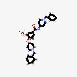 COc1cc(C(=O)NC2CCN(Cc3ccccc3)CC2)ccc1OC1CCN(Cc2ccccc2)CC1